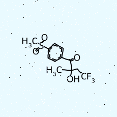 CC(O)(CC(F)(F)F)C(=O)c1ccc(S(C)(=O)=O)cc1